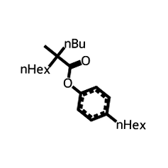 CCCCCCc1ccc(OC(=O)C(C)(CCCC)CCCCCC)cc1